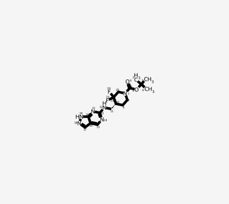 CC(C)(C)OC(=O)N1CC[C@H](CNc2ncc3cn[nH]c3n2)C(F)(F)C1